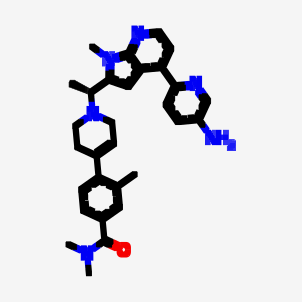 Cc1cc(C(=O)N(C)C)ccc1C1=CCN([C@@H](C)c2cc3c(-c4ccc(N)cn4)ccnc3n2C)CC1